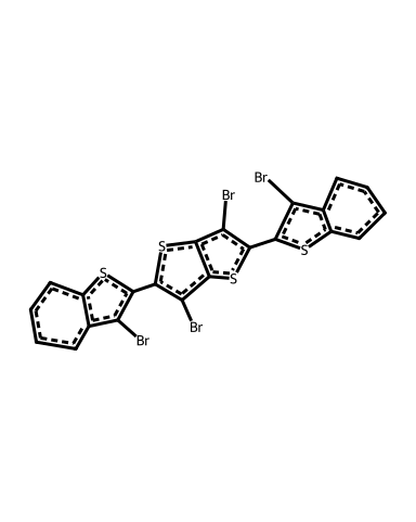 Brc1c(-c2sc3c(Br)c(-c4sc5ccccc5c4Br)sc3c2Br)sc2ccccc12